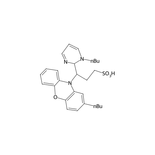 CCCCc1ccc2c(c1)N(C(CCS(=O)(=O)O)C1N=CC=CN1CCCC)c1ccccc1O2